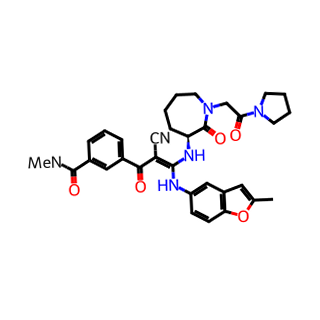 CNC(=O)c1cccc(C(=O)/C(C#N)=C(\Nc2ccc3oc(C)cc3c2)N[C@H]2CCCCN(CC(=O)N3CCCC3)C2=O)c1